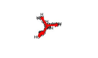 CC[C@@]1(OC(=O)[C@H](C)NC(=O)NCCOCCOCCNC(=O)Nc2cc(C(=O)NCCOCCNC(=O)CCCC[C@@H]3SC[C@@H]4NC(=N)N[C@@H]43)cc(C(=O)NCCOCCNC(=O)CCCC[C@@H]3SC[C@@H]4NC(=N)N[C@@H]43)c2)C(=O)OCc2c1cc1n(c2=O)Cc2c-1nc1ccc(O)cc1c2C